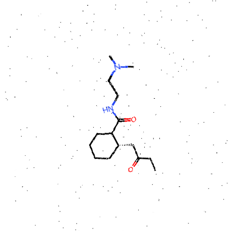 CCC(=O)C[C@@H]1CCCCC1C(=O)NCCN(C)C